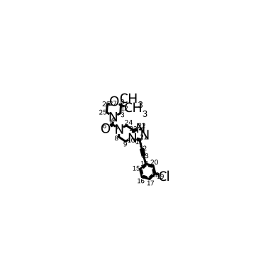 CC1(C)CN(C(=O)N2CCn3c(C#Cc4cccc(Cl)c4)nnc3C2)CCO1